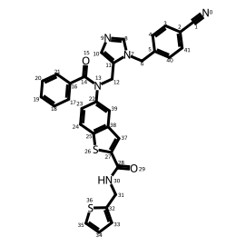 N#Cc1ccc(Cn2cncc2CN(C(=O)c2ccccc2)c2ccc3sc(C(=O)NCc4cccs4)cc3c2)cc1